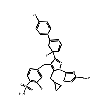 NS(=O)(=O)c1ccc(Cc2c(C3(F)C=CC=C(c4ccc(Cl)cc4)C3)nn(-c3nc(C(=O)O)cs3)c2CC2CC2)cc1F